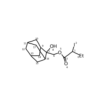 CCC(I)C(=O)OCC1(O)C2CC3CC(C2)CC1C3